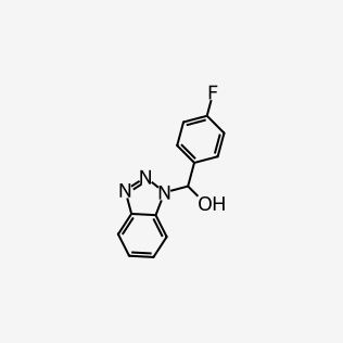 OC(c1ccc(F)cc1)n1nnc2ccccc21